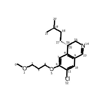 COCCCOc1cc2c(cc1Cl)C=NC[C@H]2CCC(C)C